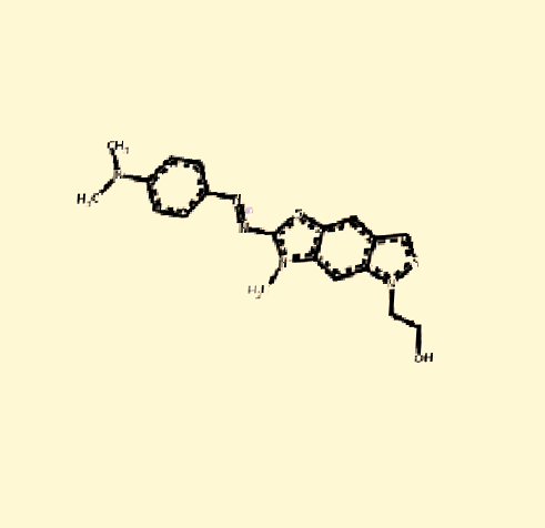 CN(C)c1ccc(/N=N/c2sc3cc4cnn(CCO)c4cc3[n+]2C)cc1